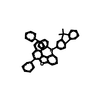 CC1(C)c2ccccc2-c2ccc(N(c3ccc(-c4ccccc4)cc3)c3cccc4oc5c(-c6ccccc6)cc6ccccc6c5c34)cc21